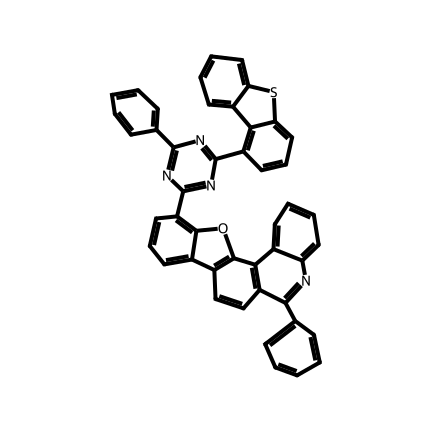 c1ccc(-c2nc(-c3cccc4c3oc3c4ccc4c(-c5ccccc5)nc5ccccc5c43)nc(-c3cccc4sc5ccccc5c34)n2)cc1